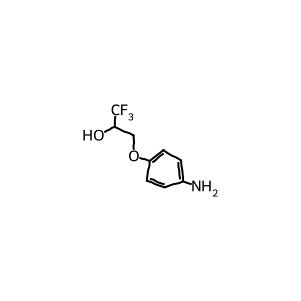 Nc1ccc(OCC(O)C(F)(F)F)cc1